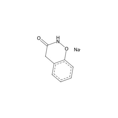 O=C1Cc2ccccc2ON1.[Na]